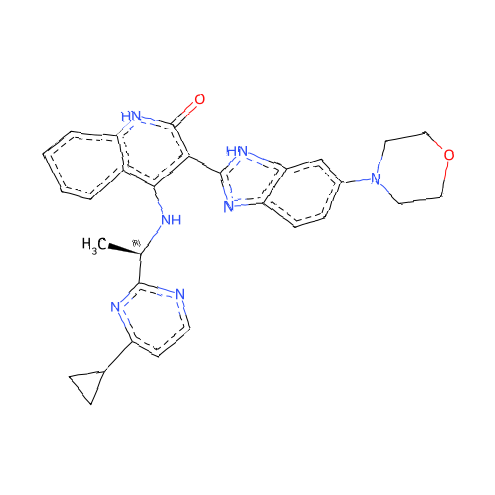 C[C@@H](Nc1c(-c2nc3ccc(N4CCOCC4)cc3[nH]2)c(=O)[nH]c2ccccc12)c1nccc(C2CC2)n1